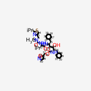 CC(C)c1nc(CN(C)C(=O)N[C@H](C(=O)N[C@@H](Cc2ccccc2)C[C@H](O)[C@H](Cc2ccccc2)NC(=O)OCc2ccno2)C(C)C)cs1